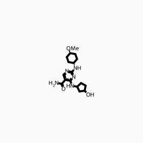 CO[C@H]1CC[C@H](Nc2ncc(C(N)=O)c(NC3CCC(O)C3)n2)CC1